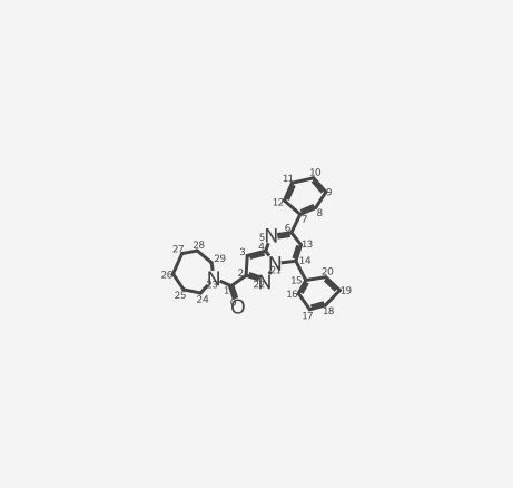 O=C(c1cc2nc(-c3ccccc3)cc(-c3ccccc3)n2n1)N1CCCCCC1